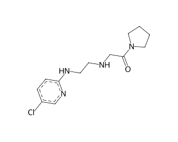 O=C(CNCCNc1ccc(Cl)cn1)N1CCCC1